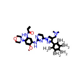 Bc1c(B)c(B)c(-c2nn(-c3ccnc(Nc4cc(NC(=O)C=C)c(N5CCOCC5)cc4OC)n3)cc2CN(C)C)c(B)c1B